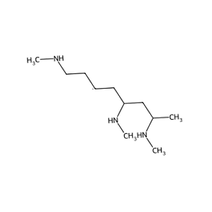 CNCC[CH]CC(CC(C)NC)NC